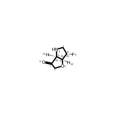 O=C1CO[C@H]2[C@@H]1NC[C@@H]2F